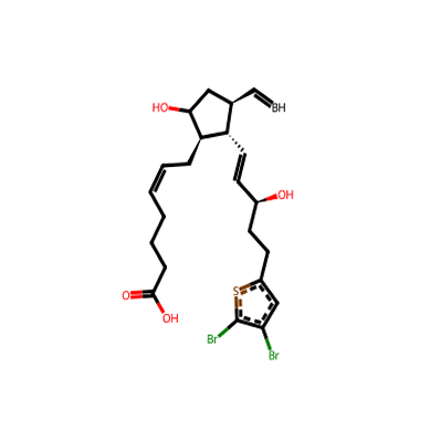 B=C[C@@H]1CC(O)[C@H](C/C=C\CCCC(=O)O)[C@H]1/C=C/[C@@H](O)CCc1cc(Br)c(Br)s1